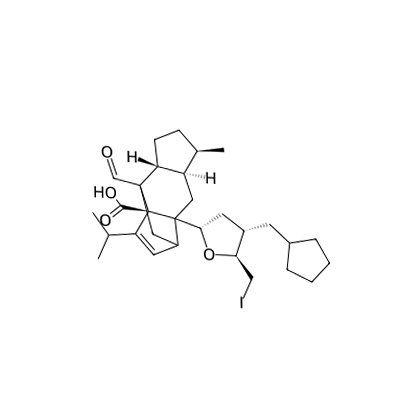 CC(C)C1=CC2CC3(C=O)[C@@H]4CC[C@@H](C)[C@H]4CC2([C@@H]2C[C@H](CC4CCCC4)[C@@H](CI)O2)[C@]13C(=O)O